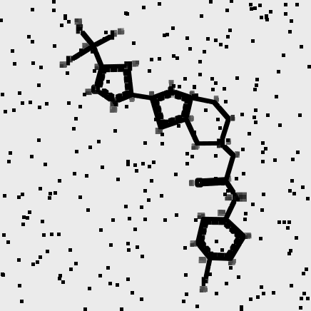 O=C(CN1CCc2sc(-c3noc(C(F)(F)F)n3)cc2C1)Nc1ccc(F)cc1